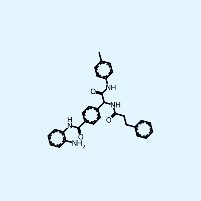 Cc1ccc(NC(=O)C(NC(=O)CCc2ccccc2)c2ccc(C(=O)Nc3ccccc3N)cc2)cc1